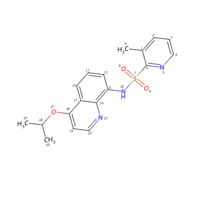 Cc1cccnc1S(=O)(=O)Nc1cccc2c(OC(C)C)ccnc12